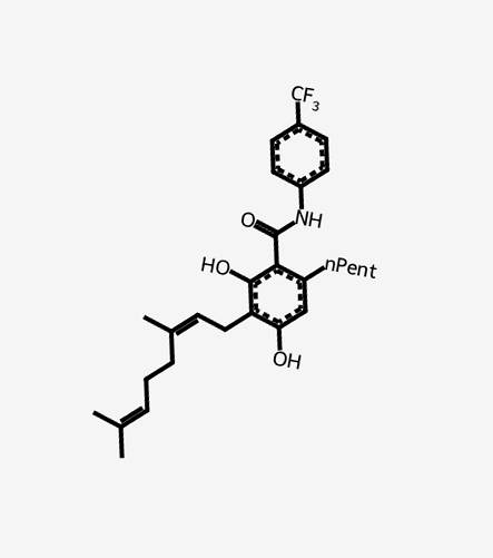 CCCCCc1cc(O)c(CC=C(C)CCC=C(C)C)c(O)c1C(=O)Nc1ccc(C(F)(F)F)cc1